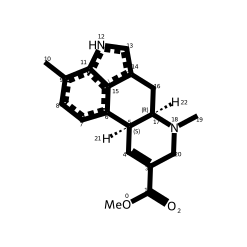 COC(=O)C1=C[C@H]2c3ccc(C)c4[nH]cc(c34)C[C@H]2N(C)C1